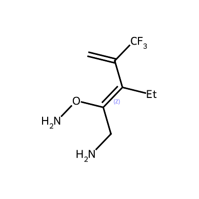 C=C(/C(CC)=C(/CN)ON)C(F)(F)F